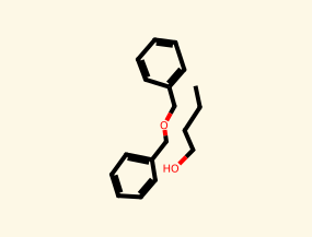 CCCCO.c1ccc(COCc2ccccc2)cc1